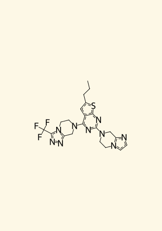 CCCc1cc2c(N3CCn4c(nnc4C(F)(F)F)C3)nc(N3CCn4ccnc4C3)nc2s1